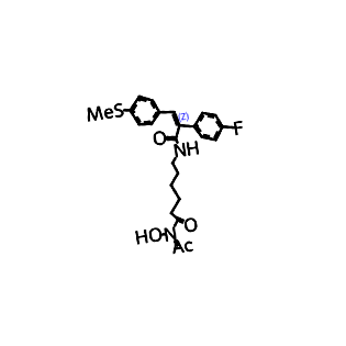 CSc1ccc(/C=C(\C(=O)NCCCCCC(=O)N(O)C(C)=O)c2ccc(F)cc2)cc1